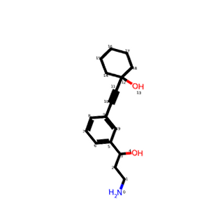 NCCC(O)c1cccc(C#CC2(O)CCCCC2)c1